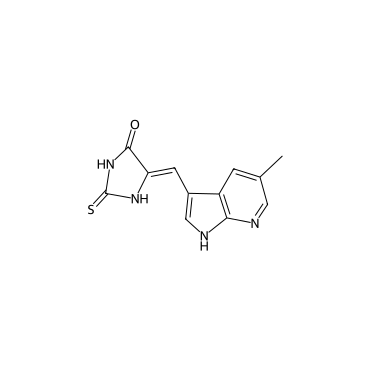 Cc1cnc2[nH]cc(/C=C3\NC(=S)NC3=O)c2c1